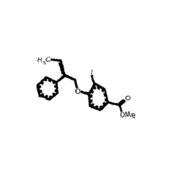 CC=C(COc1ccc(C(=O)OC)cc1I)c1ccccc1